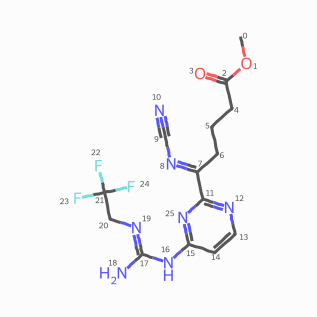 COC(=O)CCCC(=NC#N)c1nccc(NC(N)=NCC(F)(F)F)n1